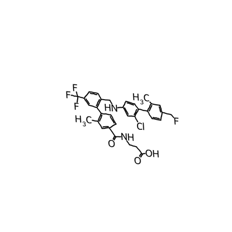 Cc1cc(CF)ccc1-c1ccc(NCc2ccc(C(F)(F)F)cc2-c2ccc(C(=O)NCCC(=O)O)cc2C)cc1Cl